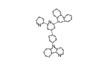 c1ccc(-c2cc(-c3ccc(-n4c5ccccc5c5ncccc54)cc3)cc(-c3cc4ccccc4c4ccccc34)n2)nc1